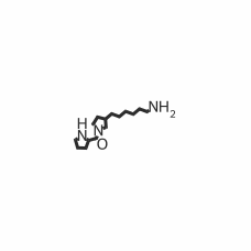 NCCCCCCC1CCN(C(=O)C2CCCN2)C1